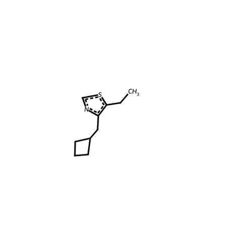 CCc1scnc1CC1CCC1